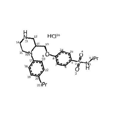 CC(C)NS(=O)(=O)c1ccc(OCC2CNCCN2c2ccc(C(C)C)cc2)cc1.Cl